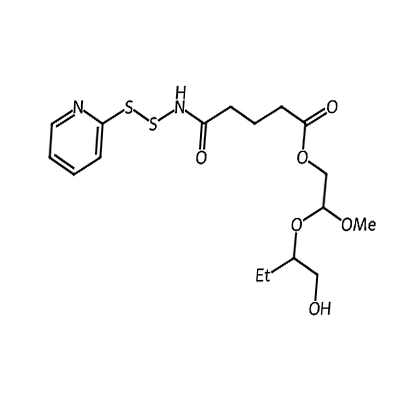 CCC(CO)OC(COC(=O)CCCC(=O)NSSc1ccccn1)OC